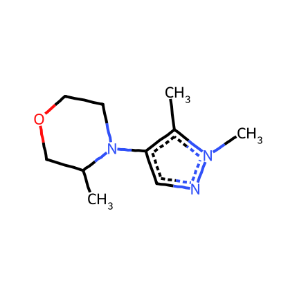 Cc1c(N2CCOCC2C)cnn1C